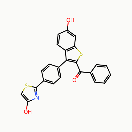 O=C(c1ccccc1)c1sc2cc(O)ccc2c1-c1ccc(-c2nc(O)cs2)cc1